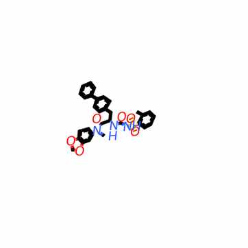 Cc1ccccc1S(=O)(=O)NC(=O)NC(Cc1ccc(-c2ccccc2)cc1)C(=O)N(C)c1ccc2c(c1)OCO2